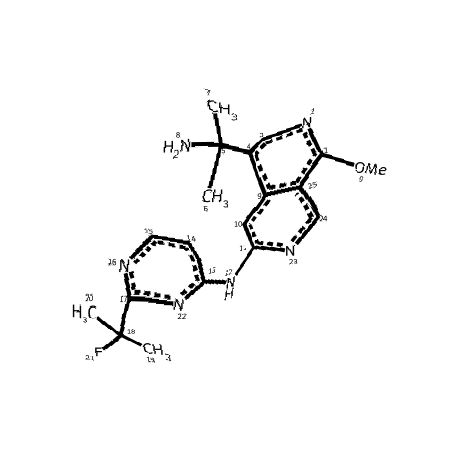 COc1ncc(C(C)(C)N)c2cc(Nc3ccnc(C(C)(C)F)n3)ncc12